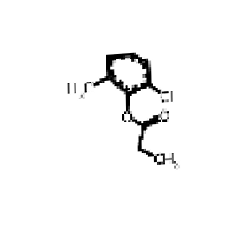 CCC(=O)Oc1c(C)cccc1Cl